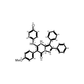 COc1ccc(-c2c(Nc3ccc(Cl)cn3)[nH]c3c(-c4ccccc4)c(-c4ccccc4)nn3c2=O)cc1